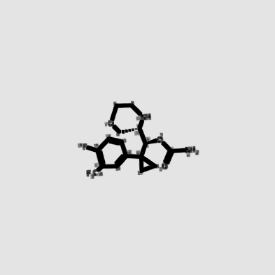 NC(=O)O[C@H]([C@@H]1COCCN1)C1(c2ccc(F)c(C(F)(F)F)c2)CC1